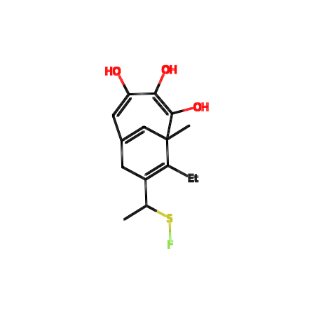 CCC1=C(C(C)SF)CC2=CC1(C)C(O)=C(O)C(O)=C2